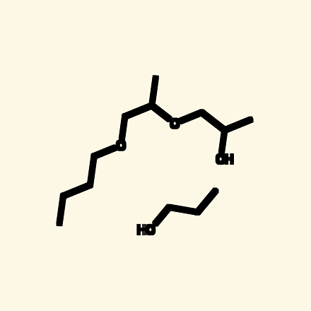 CCCCOCC(C)OCC(C)O.CCCO